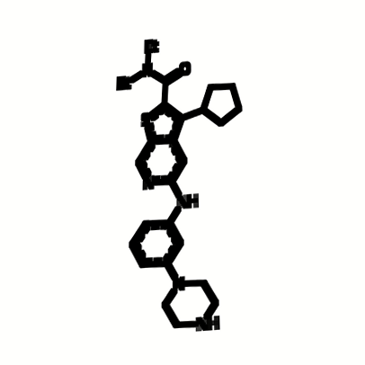 CCN(CC)C(=O)c1sc2cnc(Nc3cccc(N4CCNCC4)c3)cc2c1C1CCCC1